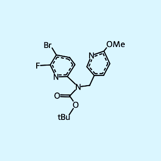 COc1ccc(CN(C(=O)OC(C)(C)C)c2ccc(Br)c(F)n2)cn1